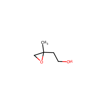 CC1(CCO)CO1